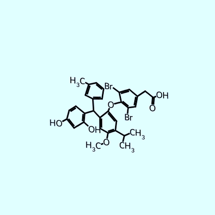 COc1cc(C(c2cccc(C)c2)c2ccc(O)cc2O)c(Oc2c(Br)cc(CC(=O)O)cc2Br)cc1C(C)C